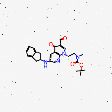 CN(CCn1cc(C=O)c(=O)c2cc(NC3Cc4ccccc4C3)cnc21)C(=O)OC(C)(C)C